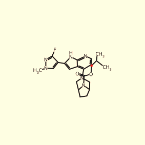 CC(C)COC(=O)N1C2CCC1CN(c1ccnc3[nH]c(-c4cn(C)nc4F)cc13)C2